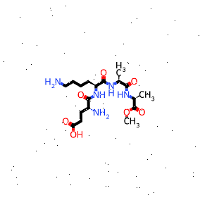 COC(=O)[C@@H](C)NC(=O)[C@@H](C)NC(=O)[C@H](CCCCN)NC(=O)[C@H](N)CCC(=O)O